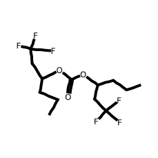 CCCC(CC(F)(F)F)OC(=O)OC(CCC)CC(F)(F)F